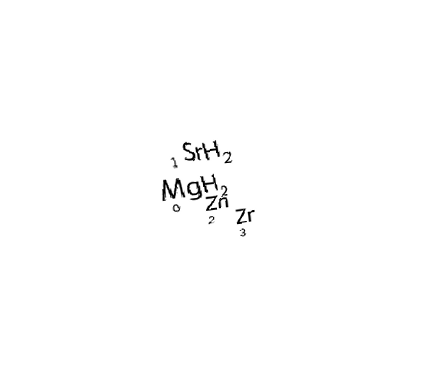 [MgH2].[SrH2].[Zn].[Zr]